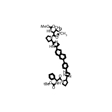 COC(=O)NC(C(=O)N1CCCC1c1ncc(-c2ccc3cc(-c4ccc(-c5cnc(C6CCCN6C(=O)C(NC(=O)OC(C)(C)C)c6ccccc6)[nH]5)cc4)ccc3c2)[nH]1)C(C)S(C)(=O)=O